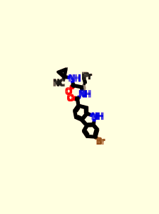 CC(C)C[C@H](NC(=O)c1ccc2c(c1)[nH]c1cc(Br)ccc12)C(=O)NC1(C#N)CC1